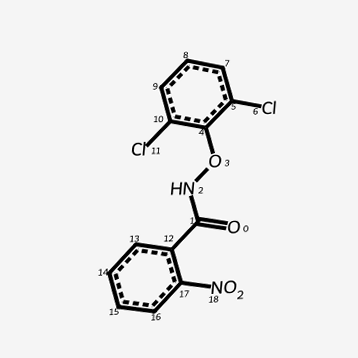 O=C(NOc1c(Cl)cccc1Cl)c1ccccc1[N+](=O)[O-]